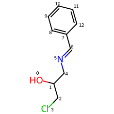 OC(CCl)CN=Cc1ccccc1